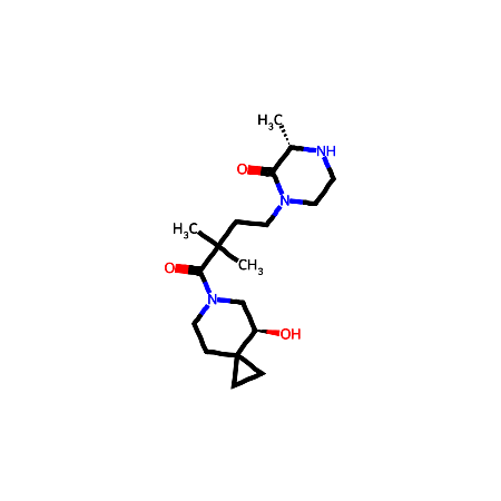 C[C@@H]1NCCN(CCC(C)(C)C(=O)N2CCC3(CC3)[C@H](O)C2)C1=O